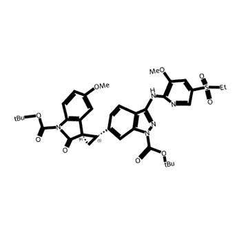 CCS(=O)(=O)c1cnc(Nc2nn(C(=O)OC(C)(C)C)c3cc([C@@H]4C[C@@]45C(=O)N(C(=O)OC(C)(C)C)c4ccc(OC)cc45)ccc23)c(OC)c1